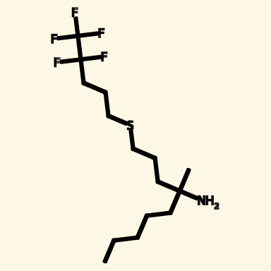 CCCCCC(C)(N)CCCSCCCC(F)(F)C(F)(F)F